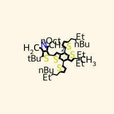 C=c1c2c(-c3cc4c(-c5ccc(CC(CC)CCCC)s5)c5sc(C(C)(CC)CC)cc5c(-c5ccc(CC(CC)CCCC)s5)c4s3)sc(C(C)(C)C)c2c(=C)n1CCCCCCCC